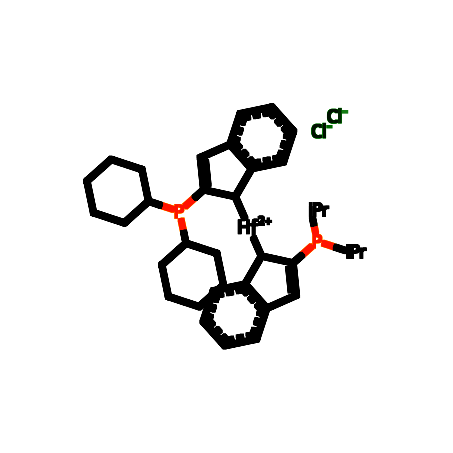 CC(C)P(C1=Cc2ccccc2[CH]1[Hf+2][CH]1C(P(C2CCCCC2)C2CCCCC2)=Cc2ccccc21)C(C)C.[Cl-].[Cl-]